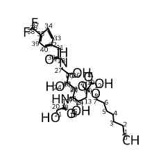 C#CCCCCCCO[C@]1(C(=O)O)C[C@H](O)[C@@H](NC(=O)CO)[C@H]([C@H](O)[C@H](O)CNC(=O)Cc2ccc(C(F)F)cc2)O1